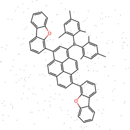 Cc1cc(C)c(B(c2c(C)cc(C)cc2C)c2cc(-c3cccc4c3oc3ccccc34)c3ccc4ccc(-c5cccc6c5oc5ccccc56)c5ccc2c3c45)c(C)c1